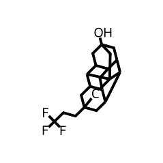 OC12CC3C4CC5C6CC7(CCC(F)(F)F)CC5C(C4C1)C(C2)(C7)C36